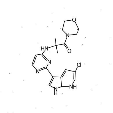 CC(C)(Nc1ccnc(C2=CNC3NC=C(Cl)C=C23)n1)C(=O)N1CCOCC1